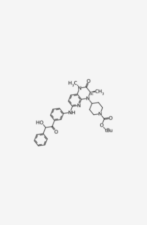 C[C@@H]1C(=O)N(C)c2ccc(Nc3cccc(C(=O)C(O)c4ccccc4)c3)nc2N1C1CCN(C(=O)OC(C)(C)C)CC1